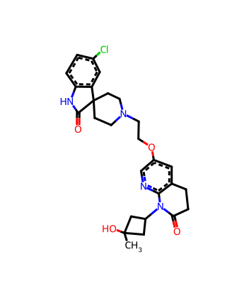 CC1(O)CC(N2C(=O)CCc3cc(OCCN4CCC5(CC4)C(=O)Nc4ccc(Cl)cc45)cnc32)C1